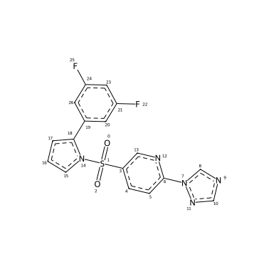 O=S(=O)(c1ccc(-n2cncn2)nc1)n1cccc1-c1cc(F)cc(F)c1